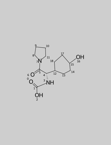 O=C(O)N[C@H](C(=O)N1CCCC1)C1CCC(O)CC1